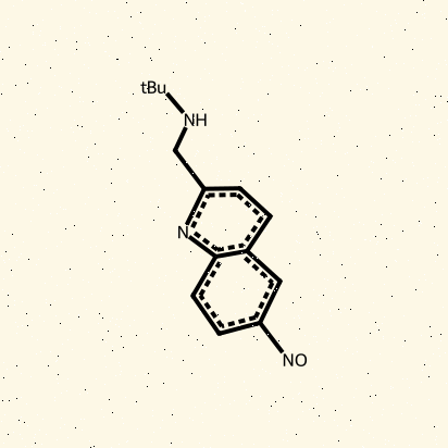 CC(C)(C)NCc1ccc2cc(N=O)ccc2n1